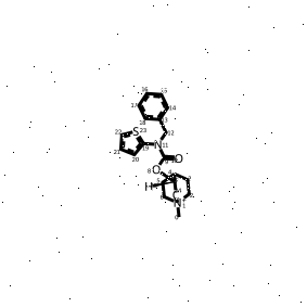 C[N+]12CCC(CC1)[C@@H](OC(=O)N(Cc1ccccc1)c1cccs1)C2